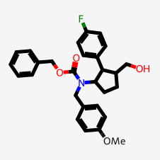 COc1ccc(CN(C(=O)OCc2ccccc2)C2CCC(CO)C2c2ccc(F)cc2)cc1